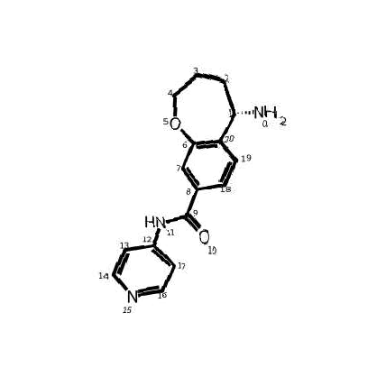 N[C@H]1CCCOc2cc(C(=O)Nc3ccncc3)ccc21